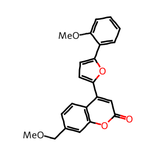 COCc1ccc2c(-c3ccc(-c4ccccc4OC)o3)cc(=O)oc2c1